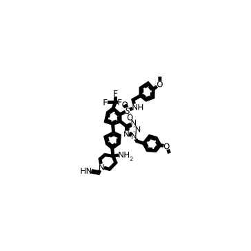 COc1ccc(CNS(=O)(=O)c2c(C(F)(F)F)ccc(-c3ccc(C4(N)CCN(C=N)CC4)cc3)c2-c2nnn(Cc3ccc(OC)cc3)n2)cc1